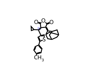 Cc1ccc(-c2cc(/C(=C3/C(=O)OC(=O)C3=C3C4CC5CC(C4)CC3C5)C3CC3)cs2)cc1